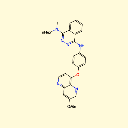 CCCCCCN(C)c1nnc(Nc2ccc(Oc3ccnc4cc(OC)cnc34)cc2)c2ccccc12